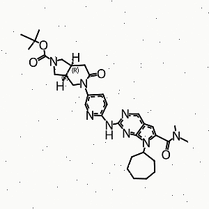 CN(C)C(=O)c1cc2cnc(Nc3ccc(N4C[C@@H]5CN(C(=O)OC(C)(C)C)C[C@@H]5CC4=O)cn3)nc2n1C1CCCCCC1